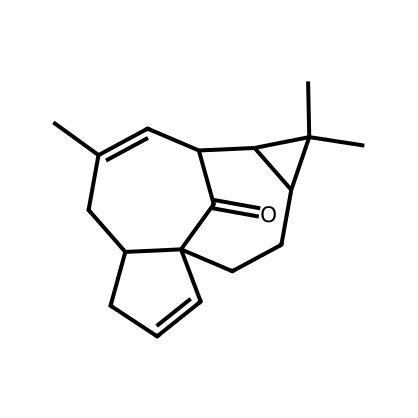 CC1=CC2C(=O)C3(C=CCC3C1)CCC1C2C1(C)C